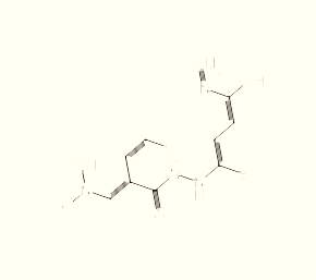 C=N/C(C)=C\C=C(/CC)NNC(=O)C(/C=C\C=O)=C/N(C)C